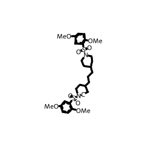 COc1ccc(OC)c(S(=O)(=O)N2CCC(CCCC3CCN(S(=O)(=O)c4cc(OC)ccc4OC)CC3)CC2)c1